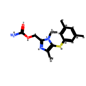 CCCCCCn1c(COC(N)=O)nc(C(C)C)c1Sc1cc(C)cc(C)c1